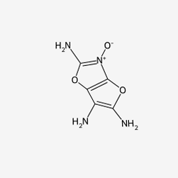 Nc1oc2c(oc(N)[n+]2[O-])c1N